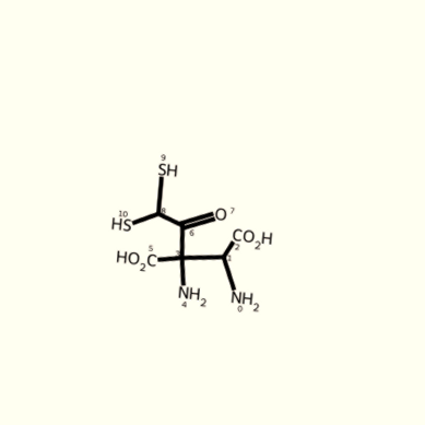 NC(C(=O)O)C(N)(C(=O)O)C(=O)C(S)S